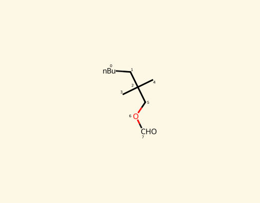 CCCCCC(C)(C)COC=O